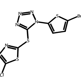 Clc1cnc(Sc2nnnn2-c2ccc(Br)s2)s1